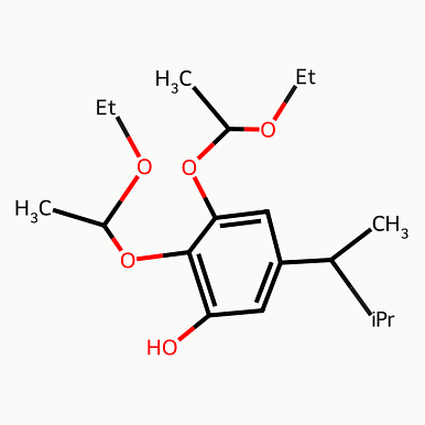 CCOC(C)Oc1cc(C(C)C(C)C)cc(O)c1OC(C)OCC